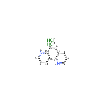 Cl.Cl.c1cnc2c(c1)ccc1ncccc12